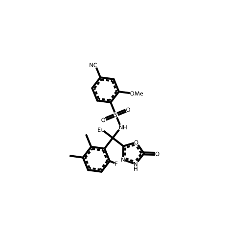 CCC(NS(=O)(=O)c1ccc(C#N)cc1OC)(c1n[nH]c(=O)o1)c1c(F)ccc(C)c1C